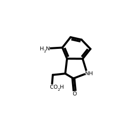 Nc1cccc2c1C(CC(=O)O)C(=O)N2